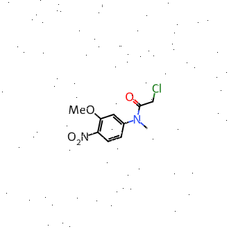 COc1cc(N(C)C(=O)CCl)ccc1[N+](=O)[O-]